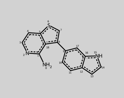 Nc1nccc2scc(-c3ccc4cc[nH]c4c3)c12